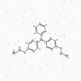 CCOCc1ccc(N(c2ccccc2)c2ccc(COC(C)C)cc2)cc1